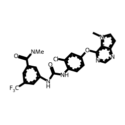 CNC(=O)c1cc(NC(=O)Nc2ccc(Oc3ncnc4ccn(C)c34)cc2Cl)cc(C(F)(F)F)c1